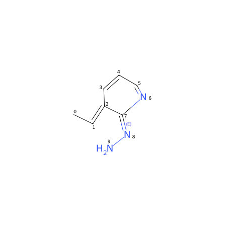 CC=C1C=CC=N/C1=N/N